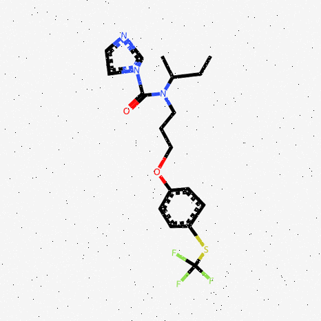 CCC(C)N(CCCOc1ccc(SC(F)(F)F)cc1)C(=O)n1ccnc1